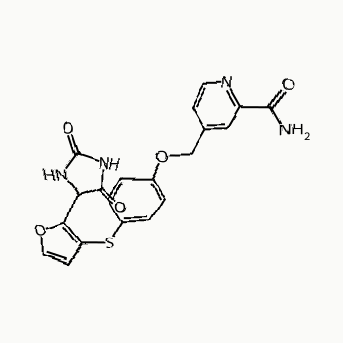 NC(=O)c1cc(COc2ccc(Sc3ccoc3C3NC(=O)NC3=O)cc2)ccn1